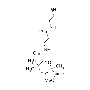 COC(=O)C1(C)OCC(C)(C)[C@H](C(=O)NCCC(=O)NCCS)O1